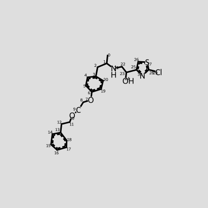 CC(Cc1ccc(OCCOCCc2ccccc2)cc1)NCC(O)c1csc(Cl)n1